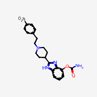 NC(=O)Oc1cccc2[nH]c(C3CCN(CCc4ccc([N+](=O)[O-])cc4)CC3)nc12